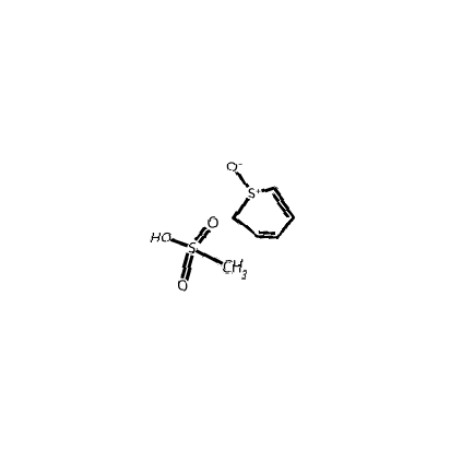 CS(=O)(=O)O.[O-][S+]1C=CC=CC1